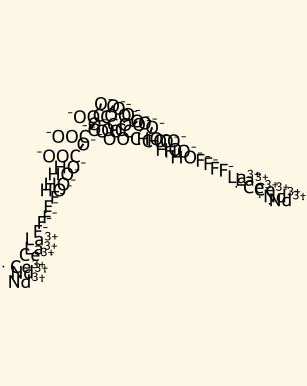 O=C([O-])[O-].O=C([O-])[O-].O=C([O-])[O-].O=C([O-])[O-].O=C([O-])[O-].O=C([O-])[O-].O=C([O-])[O-].O=C([O-])[O-].O=C([O-])[O-].[Ce+3].[Ce+3].[Ce+3].[Ce+3].[F-].[F-].[F-].[F-].[F-].[F-].[F-].[F-].[F-].[La+3].[La+3].[La+3].[La+3].[Nd+3].[Nd+3].[Nd+3].[Nd+3].[OH-].[OH-].[OH-].[OH-].[OH-].[OH-].[OH-].[OH-].[OH-]